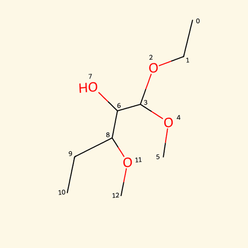 CCOC(OC)C(O)C(CC)OC